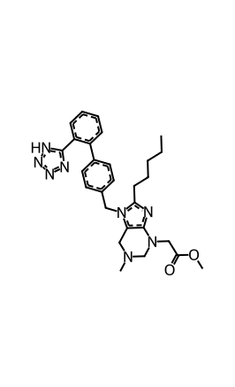 CCCCCc1nc2c(n1Cc1ccc(-c3ccccc3-c3nnn[nH]3)cc1)CN(C)CN2CC(=O)OC